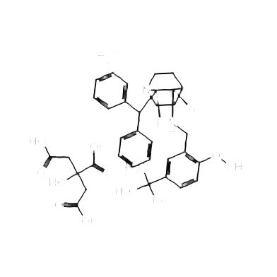 COc1ccc(C(C)(C)C)cc1CN[C@H]1C2CCN(CC2)[C@H]1C(c1ccccc1)c1ccccc1.O.O=C(O)CC(O)(CC(=O)O)C(=O)O